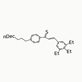 CCCCCCCCCCCCCc1ccc(C(=S)C=Cc2cc(CC)c(CC)c(CC)c2)cc1